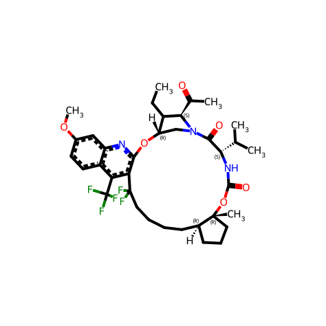 CCC1[C@@H]2CN(C(=O)[C@H](C(C)C)NC(=O)O[C@]3(C)CCC[C@H]3CCCCC(F)(F)c3c(nc4cc(OC)ccc4c3C(F)(F)F)O2)[C@@H]1C(C)=O